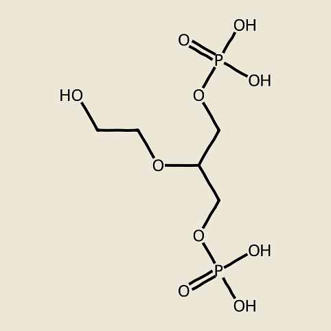 O=P(O)(O)OCC(COP(=O)(O)O)OCCO